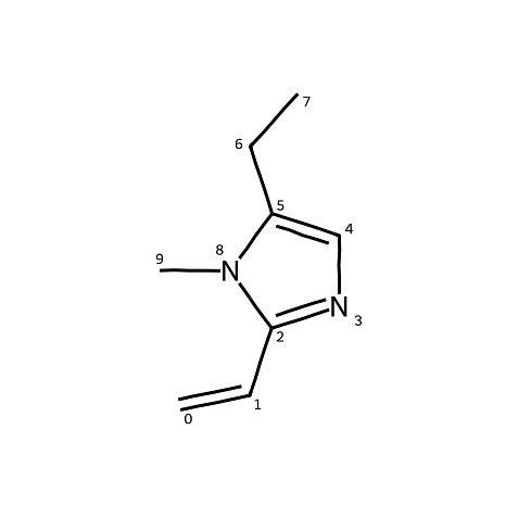 C=Cc1ncc(CC)n1C